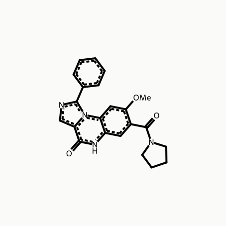 COc1cc2c(cc1C(=O)N1CCCC1)[nH]c(=O)c1cnc(-c3ccccc3)n12